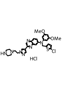 COc1cc(OC)cc(N(Cc2ccc(Cl)s2)c2ccc3ncc(-c4cnn(CCN5CCNCC5)c4)nc3c2)c1.Cl